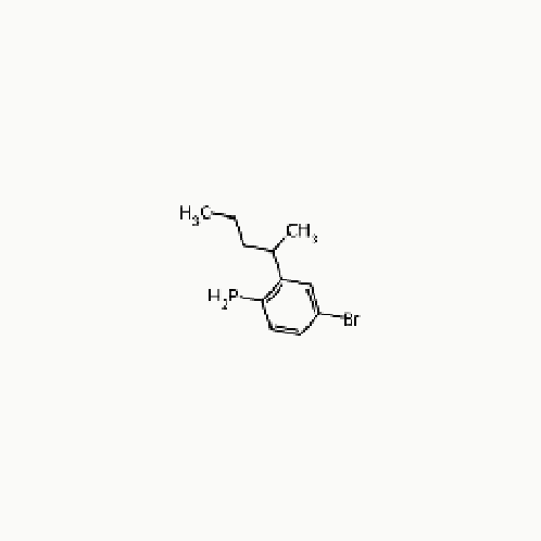 CCCC(C)c1cc(Br)ccc1P